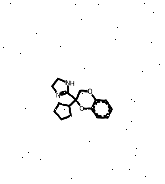 c1ccc2c(c1)OCC(C1=NCCN1)(C1CCCC1)O2